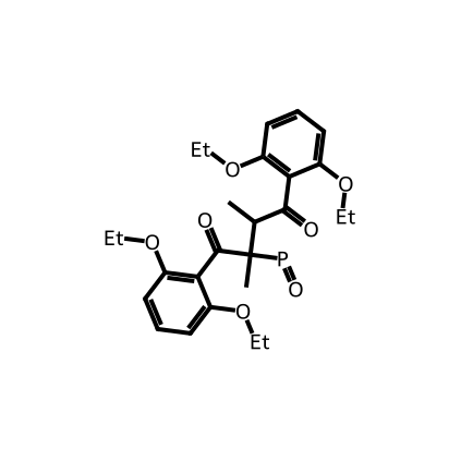 CCOc1cccc(OCC)c1C(=O)C(C)C(C)(P=O)C(=O)c1c(OCC)cccc1OCC